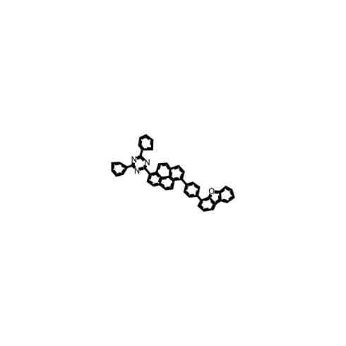 c1ccc(-c2nc(-c3ccccc3)nc(-c3ccc4ccc5c(-c6ccc(-c7cccc8c7oc7ccccc78)cc6)ccc6ccc3c4c65)n2)cc1